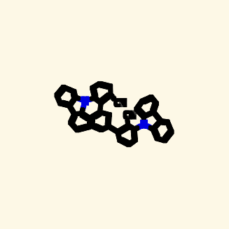 N#Cc1cccc(-n2c3ccccc3c3ccccc32)c1-c1cccc(-c2cccc(-n3c4ccccc4c4ccccc43)c2C#N)c1